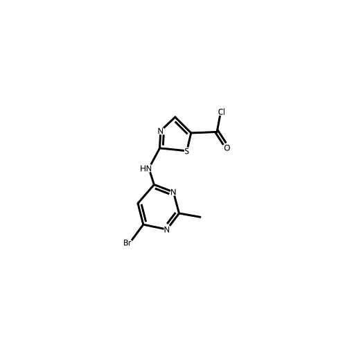 Cc1nc(Br)cc(Nc2ncc(C(=O)Cl)s2)n1